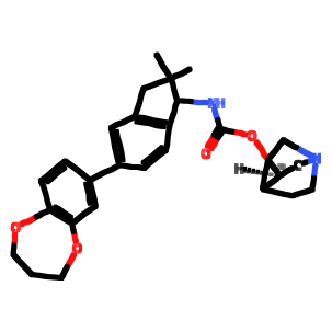 CC1(C)Cc2cc(-c3ccc4c(c3)OCCCO4)ccc2C1NC(=O)O[C@H]1CN2CCC1CC2